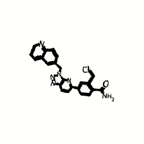 NC(=O)c1ccc(-c2ccc3nnn(Cc4ccc5ncccc5c4)c3n2)cc1CCl